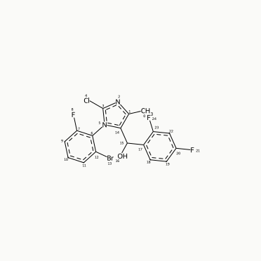 Cc1nc(Cl)n(-c2c(F)cccc2Br)c1C(O)c1ccc(F)cc1F